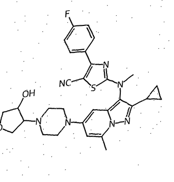 Cc1cc(N2CCN(C3COCC3O)CC2)cc2c(N(C)c3nc(-c4ccc(F)cc4)c(C#N)s3)c(C3CC3)nn12